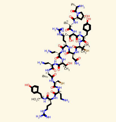 CC[C@H](C)[C@H](NC(=O)[C@@H](CCN)NC(=O)[C@@H](NC(=O)[C@H](CCN)NC(=O)[C@H](CCCNC(=N)N)NC(=O)[C@H](CC(N)=O)NC(=O)[C@@H](NC(=O)[C@H](Cc1ccc(O)cc1)NC(=O)[C@@H](NC(=O)[C@@H](NC(=O)[C@@H]1C[C@@H](O)CN1C(=O)[C@@H](N)C(C)C)[C@@H](C)CC)[C@@H](C)O)C(C)(C)S)[C@@H](C)O)C(=O)N[C@@H](CS)C(=O)N[C@@H](CCN)C(=O)N[C@@H](CCCNC(=N)N)C(=O)N[C@@H](Cc1ccc(O)cc1)C(=O)O